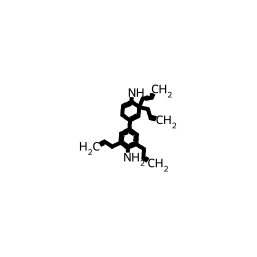 C=CCc1cc(C2=CC(CC=C)(CC=C)C(N)=CC2)cc(CC=C)c1N